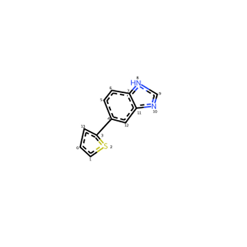 c1csc(-c2ccc3[nH]cnc3c2)c1